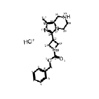 Cl.O=C(OCc1ccccc1)N1CC(c2nc(I)c3n2CCNC3)C1